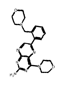 Nc1nc(N2CCOCC2)c2nc(-c3ccccc3CN3CCOCC3)cnc2n1